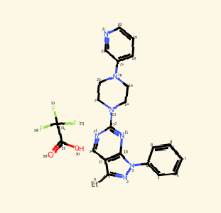 CCc1nn(-c2ccccc2)c2nc(N3CCN(c4cccnc4)CC3)ncc12.O=C(O)C(F)(F)F